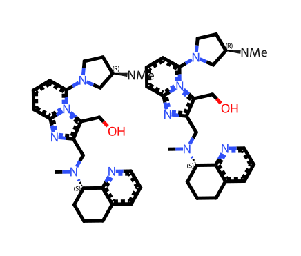 CN[C@@H]1CCN(c2cccc3nc(CN(C)[C@H]4CCCc5cccnc54)c(CO)n23)C1.CN[C@@H]1CCN(c2cccc3nc(CN(C)[C@H]4CCCc5cccnc54)c(CO)n23)C1